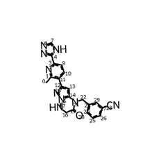 Cc1nc(-c2nnc[nH]2)ccc1-c1cc2n(n1)NCC(=O)N2Cc1cccc(C#N)c1